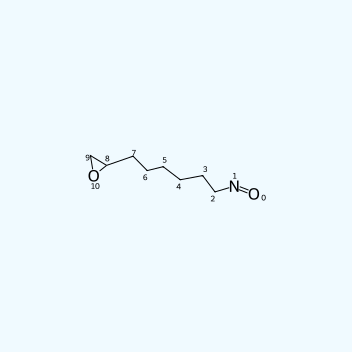 O=NCCCCCCC1CO1